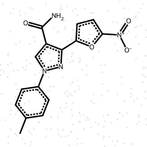 Cc1ccc(-n2cc(C(N)=O)c(-c3ccc([N+](=O)[O-])o3)n2)cc1